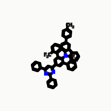 Cc1ccc(-c2ccc3c(c2)c2ccccc2n3-c2c(-c3ccccc3C(F)(F)F)cc(-c3cc(-c4ccccc4)nc(-c4ccccc4)n3)cc2-c2ccccc2C(F)(F)F)cc1